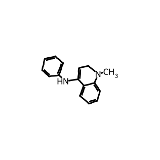 CN1CC=C(Nc2ccccc2)c2ccccc21